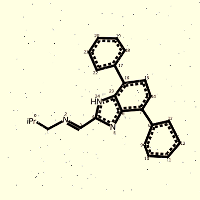 CC(C)C/N=C/c1nc2c(-c3ccccc3)ccc(-c3ccccc3)c2[nH]1